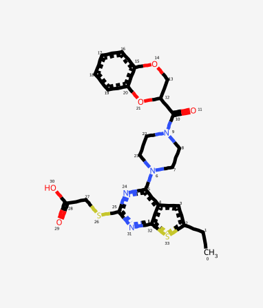 CCc1cc2c(N3CCN(C(=O)C4COc5ccccc5O4)CC3)nc(SCC(=O)O)nc2s1